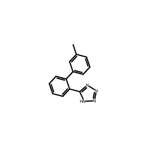 [CH2]c1cccc(-c2ccccc2-c2nnn[nH]2)c1